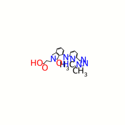 CC(C)n1cnnc1-c1cccc(Nc2cccc3c2C(=O)N(CCC(=O)O)C3)n1